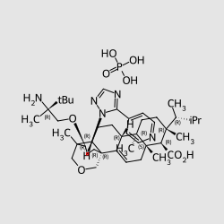 CC(C)[C@@H](C)[C@@]1(C)CC[C@]2(C)[C@H]3CC[C@H]4C5(C)COC[C@@]4(C[C@@H](n4ncnc4-c4ccncc4)[C@@H]5OC[C@](C)(N)C(C)(C)C)C3=CC[C@@]2(C)[C@@H]1C(=O)O.O=P(O)(O)O